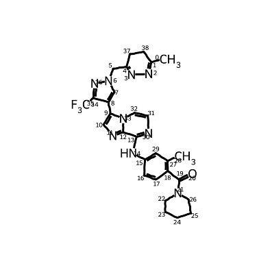 CC1=NN=C(Cn2cc(-c3cnc4c(Nc5ccc(C(=O)N6CCCCC6)c(C)c5)nccn34)c(C(F)(F)F)n2)CC1